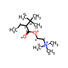 CCC(C(=O)OCC[N+](C)(C)C)C(C)(C)C